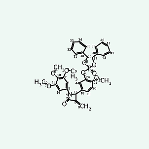 C=C1C(=O)N(c2cc(OC)c(OC)c(OC)c2)C1c1ccc(OC)c(OP(=O)(OCc2ccccc2)OCc2ccccc2)c1